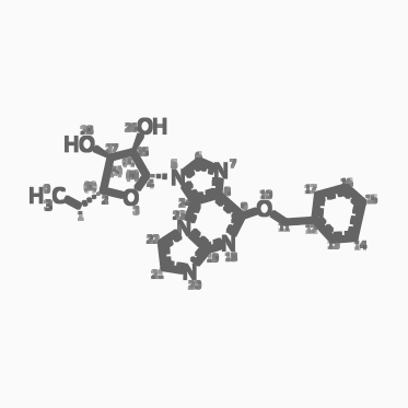 CC[C@H]1O[C@@H](n2cnc3c(OCc4ccccc4)nc4nccn4c32)[C@H](O)[C@@H]1O